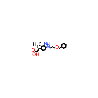 Cc1c(/C=C/C(=O)O)ccc2c1nnn2CCCOCc1ccccc1